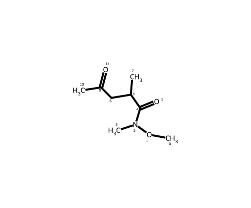 CON(C)C(=O)C(C)CC(C)=O